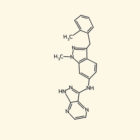 Cc1ccccc1Cc1nn(C)c2cc(Nc3n[nH]c4nccnc34)ccc12